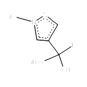 CCCCCCC(C)(CC)c1cnn(C(C)C)c1